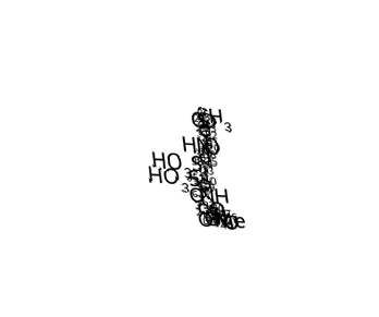 COc1ccc(C(=O)Nc2ccc(C=Cc3ccc(NC(=O)c4ccc(S(C)(=O)=O)cc4)cc3S(=O)(=O)O)c(S(=O)(=O)O)c2)cc1S(=O)(=O)N1CCOCC1